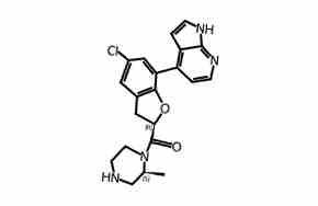 C[C@H]1CNCCN1C(=O)[C@H]1Cc2cc(Cl)cc(-c3ccnc4[nH]ccc34)c2O1